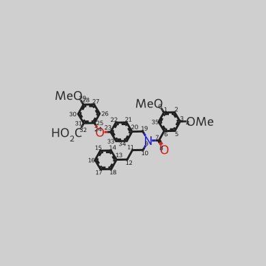 COc1cc(OC)cc(C(=O)N(CCCc2ccccc2)Cc2ccc(Oc3ccc(OC)cc3C(=O)O)cc2)c1